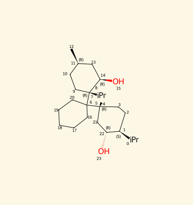 CC(C)[C@@H]1CC[C@@](C)(C2([C@]3(C(C)C)CC[C@@H](C)C[C@H]3O)CCCCC2)C[C@H]1O